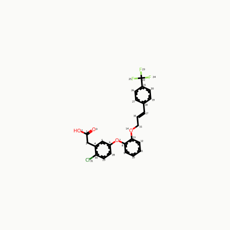 O=C(O)Cc1cc(Oc2ccccc2OCC=Cc2ccc(C(F)(F)F)cc2)ccc1Cl